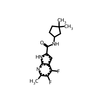 Cc1nc2[nH]c(C(=O)NC3CCC(C)(C)C3)cc2c(F)c1F